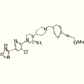 CC[C@H]1CN(c2ncc(-c3ncc[nH]3)cc2Cl)CCN1C1CCN(Cc2ccc(C#CCOC)cc2)CC1